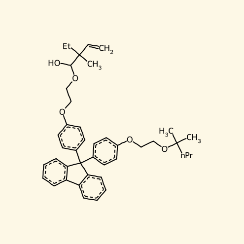 C=CC(C)(CC)C(O)OCCOc1ccc(C2(c3ccc(OCCOC(C)(C)CCC)cc3)c3ccccc3-c3ccccc32)cc1